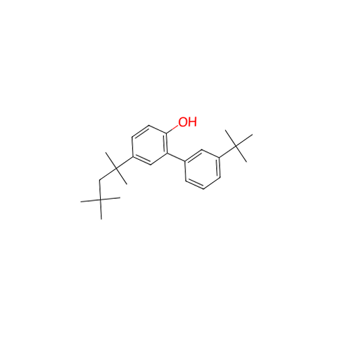 CC(C)(C)CC(C)(C)c1ccc(O)c(-c2cccc(C(C)(C)C)c2)c1